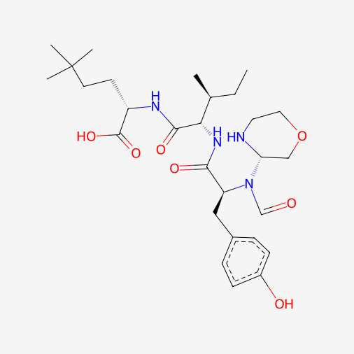 CC[C@H](C)[C@H](NC(=O)[C@H](Cc1ccc(O)cc1)N(C=O)[C@H]1COCCN1)C(=O)N[C@@H](CCC(C)(C)C)C(=O)O